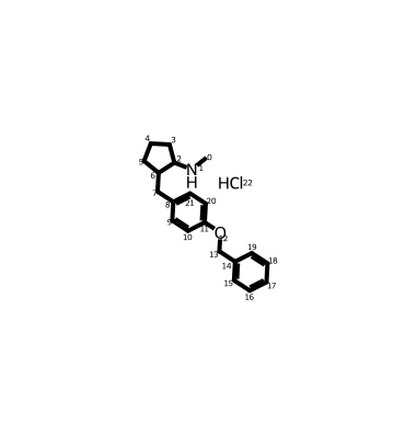 CNC1CCCC1Cc1ccc(OCc2ccccc2)cc1.Cl